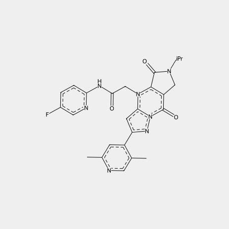 Cc1cc(-c2cc3n(CC(=O)Nc4ccc(F)cn4)c4c(c(=O)n3n2)CN(C(C)C)C4=O)c(C)cn1